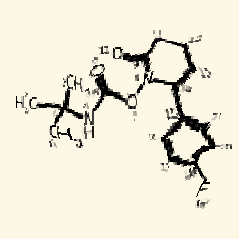 CC(C)(C)NC(=O)ON1C(=O)CCCC1c1ccc(F)cc1